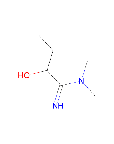 CCC(O)C(=N)N(C)C